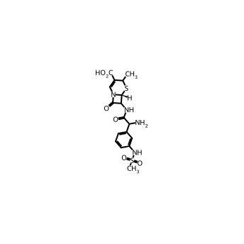 CC1S[C@@H]2C(NC(=O)C(N)c3cccc(NS(C)(=O)=O)c3)C(=O)N2C=C1C(=O)O